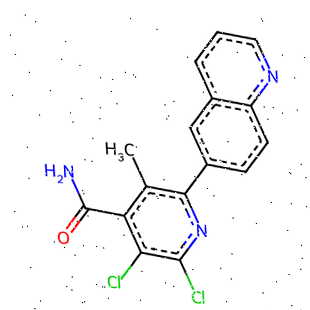 Cc1c(-c2ccc3ncccc3c2)nc(Cl)c(Cl)c1C(N)=O